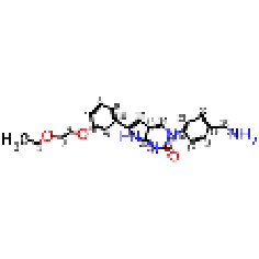 CCOCCOc1cccc(-c2cc3cn(-c4ccc(CN)cc4)c(=O)nc3[nH]2)c1